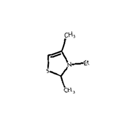 CCN1C(C)=CSC1C